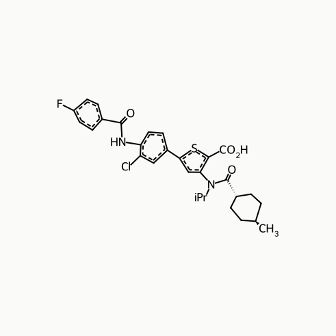 CC(C)N(c1cc(-c2ccc(NC(=O)c3ccc(F)cc3)c(Cl)c2)sc1C(=O)O)C(=O)[C@H]1CC[C@H](C)CC1